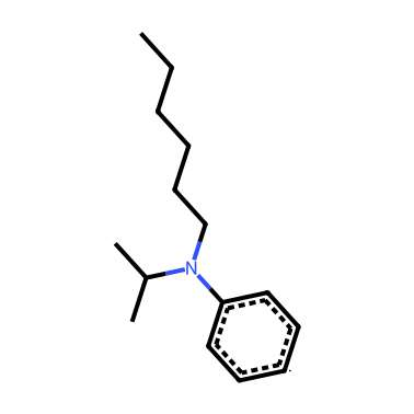 CCCCCCN(c1cc[c]cc1)C(C)C